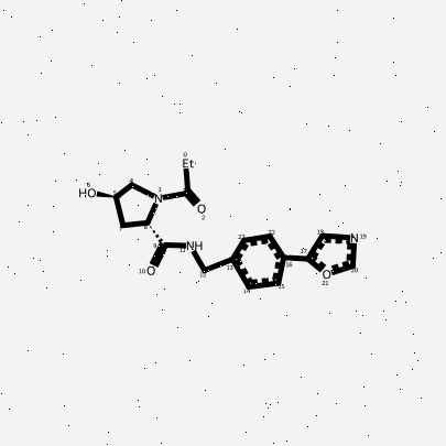 C[CH]C(=O)N1C[C@H](O)C[C@H]1C(=O)NCc1ccc(-c2cnco2)cc1